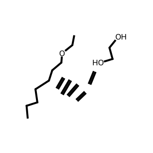 C=C.C=C.C=C.C=C.C=C.CCCCCCCOCC.OCCO